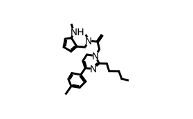 C=C(CN1CC=C(c2ccc(C)cc2)N=C1CCCCC)N(C)CC1=CC=CC1NC